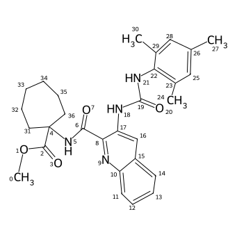 COC(=O)C1(NC(=O)c2nc3ccccc3cc2NC(=O)Nc2c(C)cc(C)cc2C)CCCCCC1